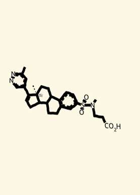 Cc1cc(C2=CCC3C4CCc5cc(S(=O)(=O)N(C)CCC(=O)O)ccc5C4CC[C@]23C)cnn1